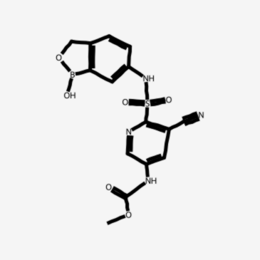 COC(=O)Nc1cnc(S(=O)(=O)Nc2ccc3c(c2)B(O)OC3)c(C#N)c1